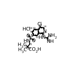 CC(C)(CNS(=O)(=O)c1ccc2c(Cl)cnc(NC(=N)N)c2c1)C(=O)O.Cl